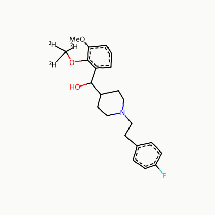 [2H]C([2H])([2H])Oc1c(OC)cccc1C(O)C1CCN(CCc2ccc(F)cc2)CC1